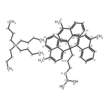 CCCC[N+](CCCC)(CCCC)CCCC.Cc1ccc(C(CCCOB(O)O)(c2ccc(C)c3ccccc23)c2ccc(C)c3ccccc23)c2ccccc12